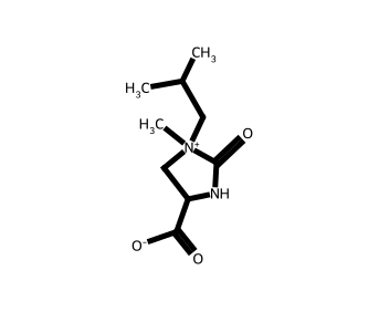 CC(C)C[N+]1(C)CC(C(=O)[O-])NC1=O